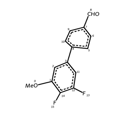 COc1cc(-c2ccc(C=O)cc2)cc(F)c1F